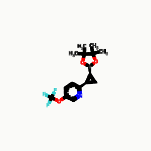 CC1(C)OB([C@H]2C[C@H]2c2ccc(OC(F)(F)F)cn2)OC1(C)C